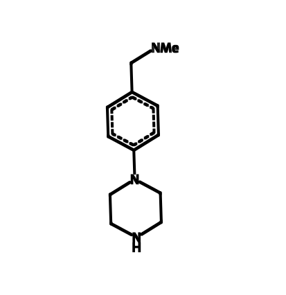 CNCc1ccc(N2CCNCC2)cc1